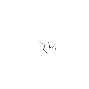 CCCC.CN